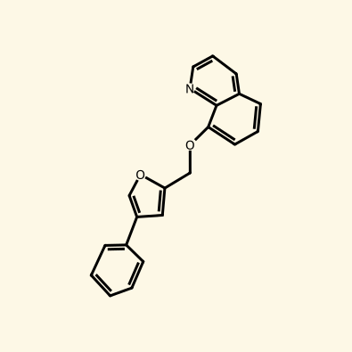 c1ccc(-c2coc(COc3cccc4cccnc34)c2)cc1